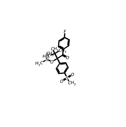 C[SiH](C)OC(C(=O)c1ccc(F)cc1)(c1ccc(S(C)(=O)=O)cc1)C(C)(C)C